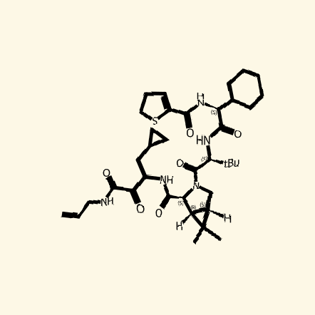 C=CCNC(=O)C(=O)C(CC1CC1)NC(=O)[C@@H]1[C@@H]2[C@H](CN1C(=O)[C@@H](NC(=O)[C@@H](NC(=O)C1=CCCS1)C1CCCCC1)C(C)(C)C)C2(C)C